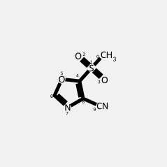 CS(=O)(=O)c1ocnc1C#N